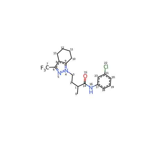 CC(CCn1nc(C(F)(F)F)c2c1CCCC2)C(=O)Nc1cccc(Cl)c1